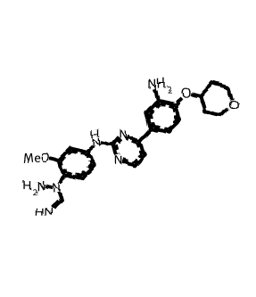 COc1cc(Nc2nccc(-c3ccc(OC4CCOCC4)c(N)c3)n2)ccc1N(N)C=N